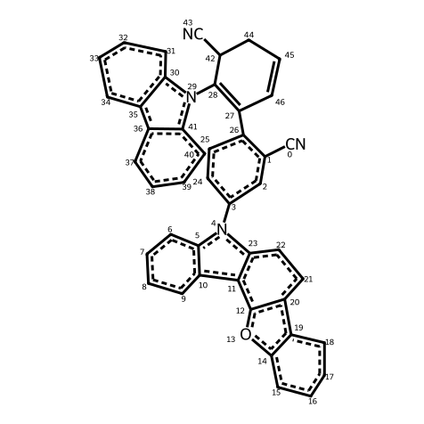 N#Cc1cc(-n2c3ccccc3c3c4oc5ccccc5c4ccc32)ccc1C1=C(n2c3ccccc3c3ccccc32)C(C#N)CC=C1